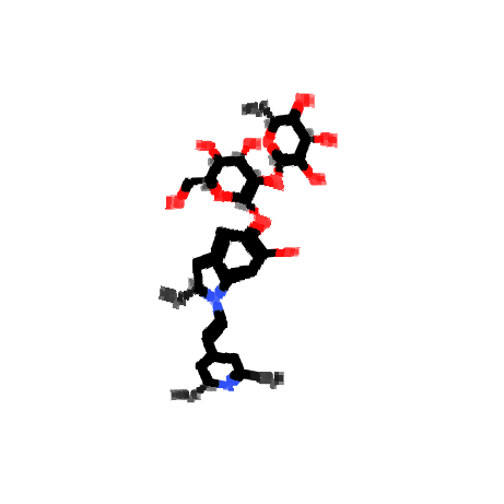 O=C(O)C1=N[C@H](C(=O)O)CC(C=CN2c3cc(O)c(O[C@@H]4O[C@H](CO)[C@@H](O)[C@H](O)[C@H]4O[C@@H]4O[C@H](C(=O)O)C(O)[C@H](O)C4O)cc3C[C@H]2C(=O)O)=C1